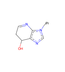 CC(C)n1cnc2c1N=CCC2O